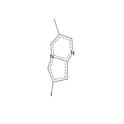 Cc1cnc2cc(I)cn2c1